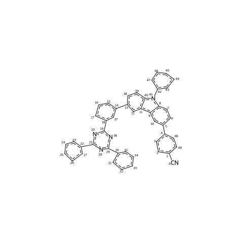 N#Cc1ccc(-c2ccc3c(c2)c2cc(-c4cccc(-c5nc(-c6ccccc6)nc(-c6ccccc6)n5)c4)ccc2n3-c2ccccc2)cc1